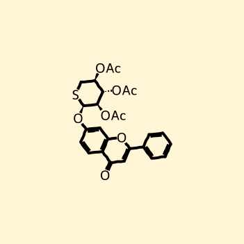 CC(=O)O[C@@H]1[C@@H](OC(C)=O)[C@@H](Oc2ccc3c(=O)cc(-c4ccccc4)oc3c2)SC[C@H]1OC(C)=O